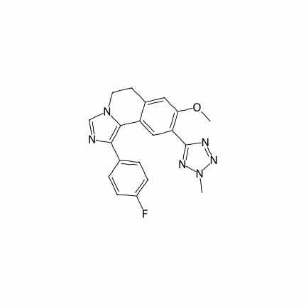 COc1cc2c(cc1-c1nnn(C)n1)-c1c(-c3ccc(F)cc3)ncn1CC2